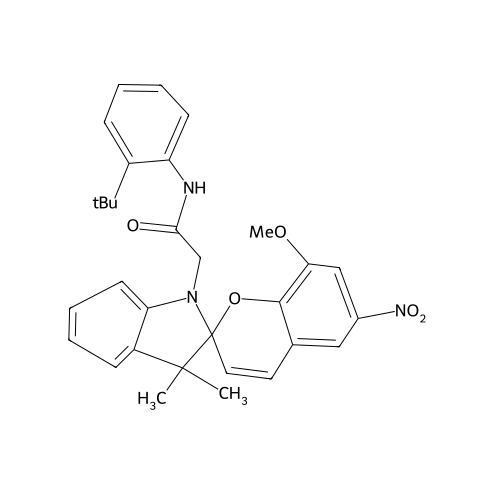 COc1cc([N+](=O)[O-])cc2c1OC1(C=C2)N(CC(=O)Nc2ccccc2C(C)(C)C)c2ccccc2C1(C)C